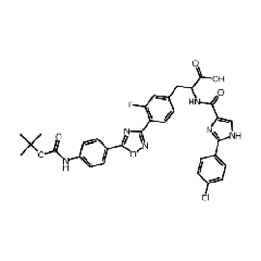 CC(C)(C)OC(=O)Nc1ccc(-c2nc(-c3ccc(CC(NC(=O)c4c[nH]c(-c5ccc(Cl)cc5)n4)C(=O)O)cc3F)no2)cc1